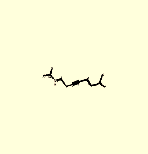 CC(C)CCC#CCCNC(C)C